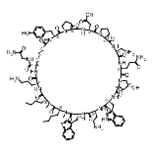 CCCC[C@H]1C(=O)N(C)[C@@H](CCCC)C(=O)N[C@@H](CCCN)C(=O)N[C@H](C(=O)NCC(N)=O)CSCC(=O)N[C@@H](Cc2ccc(O)cc2)C(=O)N2CCC[C@H]2C(=O)N[C@@H](CC(=O)O)C(=O)N2CCC[C@H]2C(=O)N[C@@H](CN)C(=O)N[C@@H](CCC(N)=O)C(=O)N2C[C@H](O)C[C@H]2C(=O)N[C@@H](Cc2c[nH]c3ccccc23)C(=O)N[C@@H](CCN)C(=O)N[C@@H](Cc2csc3ccccc23)C(=O)N1C